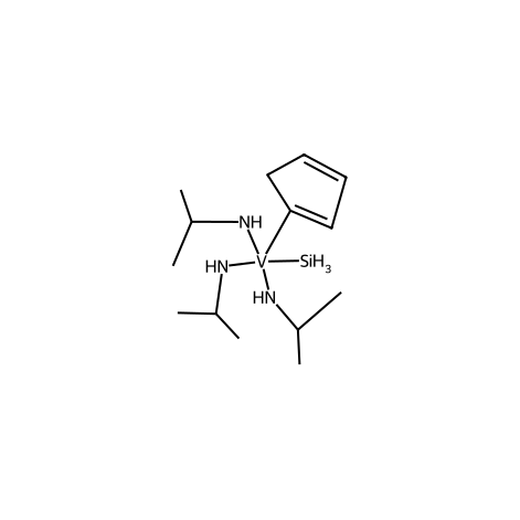 CC(C)[NH][V]([SiH3])([NH]C(C)C)([NH]C(C)C)[C]1=CC=CC1